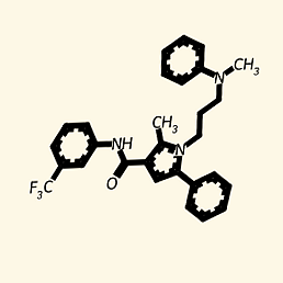 Cc1c(C(=O)Nc2cccc(C(F)(F)F)c2)cc(-c2ccccc2)n1CCCN(C)c1ccccc1